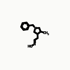 CC1CN(Cc2ccccc2)CC1CC=NO